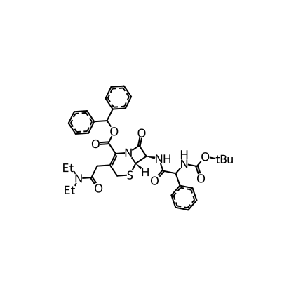 CCN(CC)C(=O)CC1=C(C(=O)OC(c2ccccc2)c2ccccc2)N2C(=O)[C@@H](NC(=O)C(NC(=O)OC(C)(C)C)c3ccccc3)[C@@H]2SC1